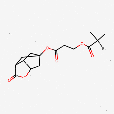 CCC(C)(C)C(=O)OCCC(=O)OC12CC3OC(=O)C(C1)C3C2